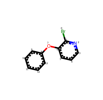 Brc1ncccc1Oc1ccccc1